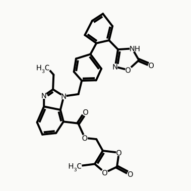 CCc1nc2cccc(C(=O)OCc3oc(=O)oc3C)c2n1Cc1ccc(-c2ccccc2-c2noc(=O)[nH]2)cc1